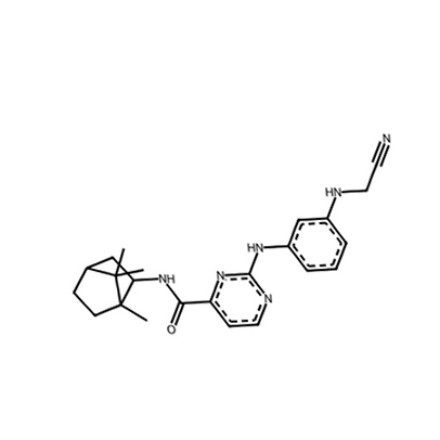 CC1(C)C2CCC1(C)C(NC(=O)c1ccnc(Nc3cccc(NCC#N)c3)n1)C2